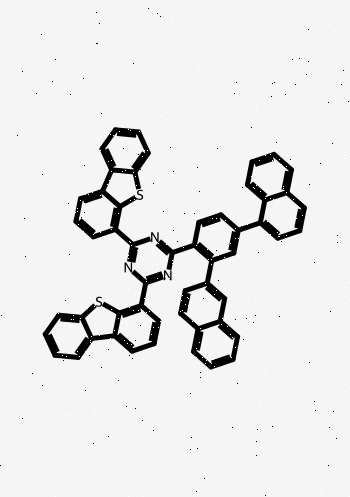 c1ccc2cc(-c3cc(-c4cccc5ccccc45)ccc3-c3nc(-c4cccc5c4sc4ccccc45)nc(-c4cccc5c4sc4ccccc45)n3)ccc2c1